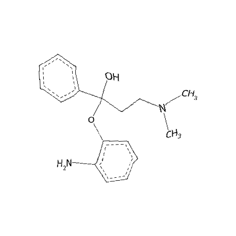 CN(C)CCC(O)(Oc1ccccc1N)c1ccccc1